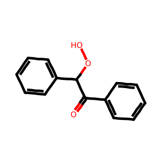 O=C(c1ccccc1)C(OO)c1ccccc1